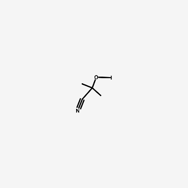 CC(C)(C#N)OI